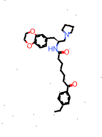 CCc1ccc(C(=O)CCCCCC(=O)N[C@@H](Cc2ccc3c(c2)OCCO3)CN2CCCC2)cc1